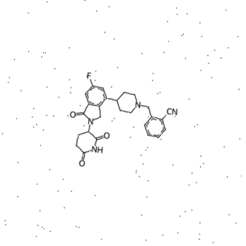 N#Cc1ccccc1CN1CCC(c2cc(F)cc3c2CN(C2CCC(=O)NC2=O)C3=O)CC1